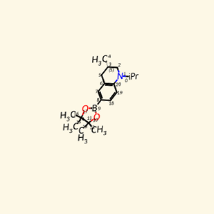 CC(C)N1C[C@@H](C)Cc2cc(B3OC(C)(C)C(C)(C)O3)ccc21